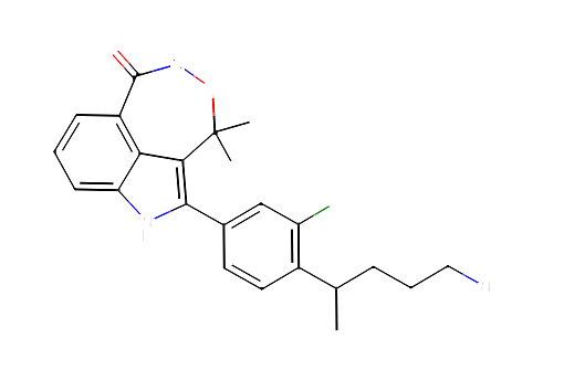 BC1(B)ONC(=O)c2cccc3[nH]c(-c4ccc(C(C)CCCN)c(F)c4)c1c23